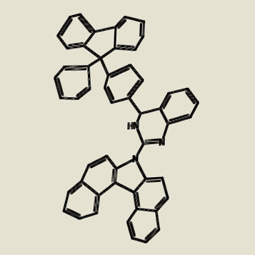 c1ccc(C2(c3ccc(C4NC(n5c6ccc7ccccc7c6c6c7ccccc7ccc65)=Nc5ccccc54)cc3)c3ccccc3-c3ccccc32)cc1